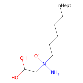 CCCCCCCCCCCC[N+](N)([O-])CC(O)O